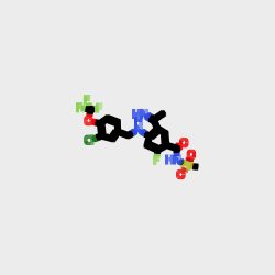 CC(=N)c1cc(C(=O)NS(C)(=O)=O)c(F)cc1NCc1ccc(OC(F)(F)F)c(Cl)c1